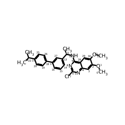 COc1cc2nc(Cl)nc(N[C@H](C)c3cccc(-c4ccc(C(C)C)cc4)c3)c2cc1OC